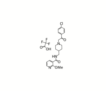 COc1ncccc1C(=O)NCC1CCN(CC(=O)c2ccc(Cl)cc2)CC1.O=C(O)C(F)(F)F